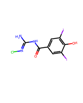 NC(=NCl)NC(=O)c1cc(I)c(O)c(I)c1